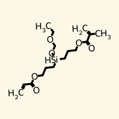 C=CC(=O)OCCC[SiH](CCCOC(=O)C(=C)C)OCOCC